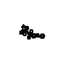 CC(C)(C)OC(=O)C(CCN1C(=O)c2ccc(OCc3ccccc3)cc2C1=O)C(=O)OC(C)(C)C